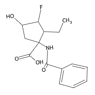 CCC1C(F)C(O)CC1(NC(=O)c1ccccc1)C(=O)O